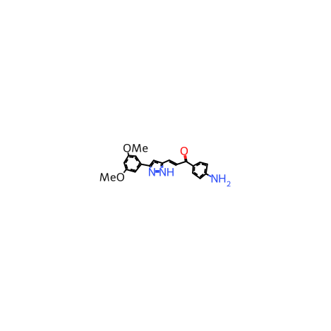 COc1cc(OC)cc(-c2cc(C=CC(=O)c3ccc(N)cc3)[nH]n2)c1